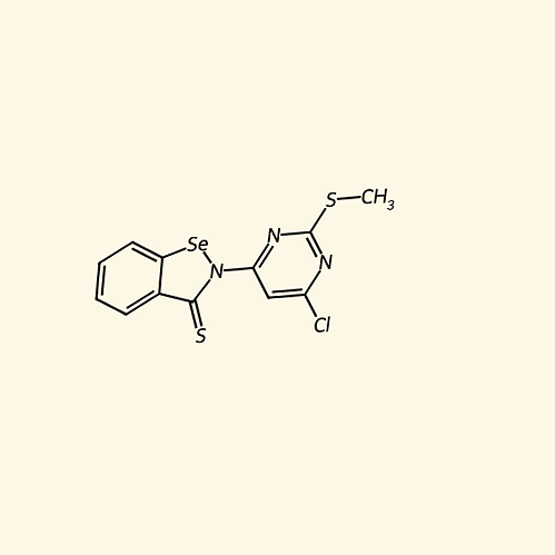 CSc1nc(Cl)cc(-n2[se]c3ccccc3c2=S)n1